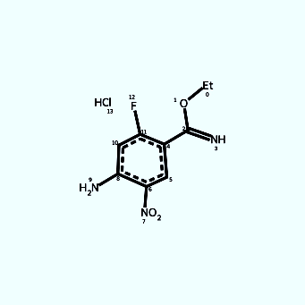 CCOC(=N)c1cc([N+](=O)[O-])c(N)cc1F.Cl